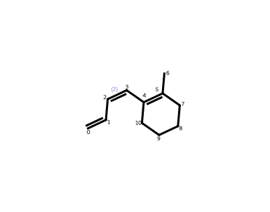 C=C/C=C\C1=C(C)CCCC1